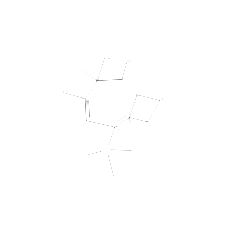 CC1=CC(S(C)(C)C)=C2CCC2=C(C)C1(C)C